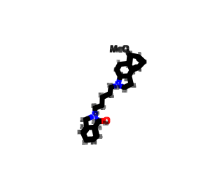 COc1cccc2c1CCC1C2CCN1CCCCCN1Cc2ccccc2C1=O